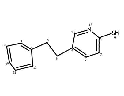 Sc1ccc(CCc2ccccc2)[c]n1